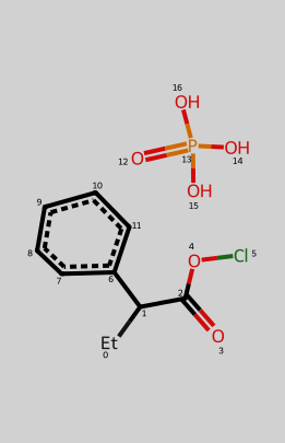 CCC(C(=O)OCl)c1ccccc1.O=P(O)(O)O